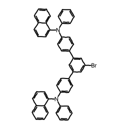 Brc1cc(-c2ccc(N(c3ccccc3)c3cccc4ccccc34)cc2)cc(-c2ccc(N(c3ccccc3)c3cccc4ccccc34)cc2)c1